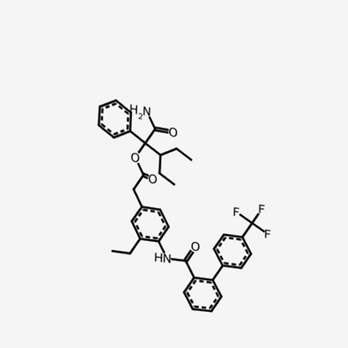 CCc1cc(CC(=O)OC(C(N)=O)(c2ccccc2)C(CC)CC)ccc1NC(=O)c1ccccc1-c1ccc(C(F)(F)F)cc1